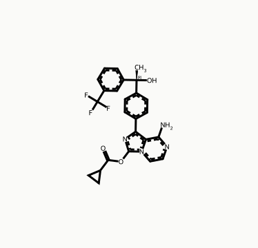 C[C@@](O)(c1ccc(-c2nc(OC(=O)C3CC3)n3ccnc(N)c23)cc1)c1cccc(C(F)(F)F)c1